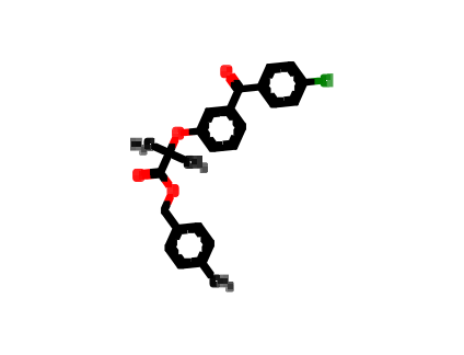 Cc1ccc(COC(=O)C(C)(C)Oc2cccc(C(=O)c3ccc(Cl)cc3)c2)cc1